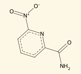 NC(=O)c1cccc([N+](=O)[O-])n1